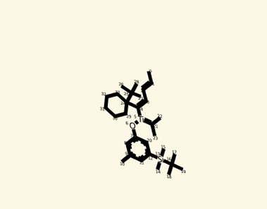 CC=CC=[C]([Ti]([O]c1cc(C)cc([Si](C)(C)C(C)(C)C)c1)=[C](C)C)C1(C(C)(C)C)CCCCC1